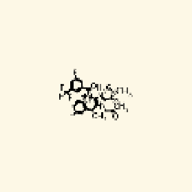 CC(=O)Cn1c(C(=O)N(C)C)nc(NC(=O)c2cc(F)cc(C(F)(F)F)c2)c1[C@H](C)c1cc(F)ccc1Cl